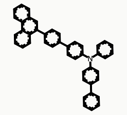 c1ccc(-c2ccc(N(c3ccccc3)c3ccc(-c4ccc(-c5cc6ccccc6c6ccccc56)cc4)cc3)cc2)cc1